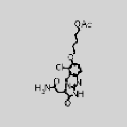 CC(=O)OCCCCCOc1ccc2c(c1Cl)CN1C(=N2)NC(=O)C1CC(N)=O